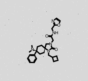 CN(C)[C@]1(c2ccccc2)CC[C@@]2(CC1)CN(CC(=O)NCc1ncco1)C(=O)N2CC1CCC1